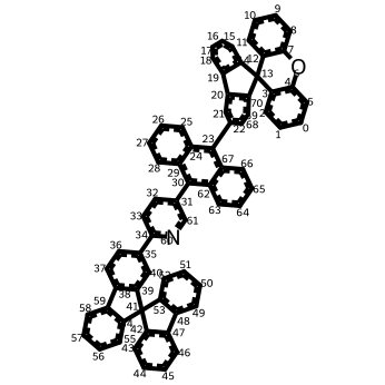 c1ccc2c(c1)Oc1ccccc1C21c2ccccc2-c2cc(-c3c4ccccc4c(-c4ccc(-c5ccc6c(c5)C5(c7ccccc7-c7ccccc75)c5ccccc5-6)nc4)c4ccccc34)ccc21